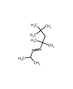 CC(C)N=NC(C)(C)CC(C)(C)C